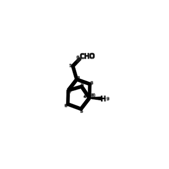 O=CCC1C[C@@H]2CCC1C2